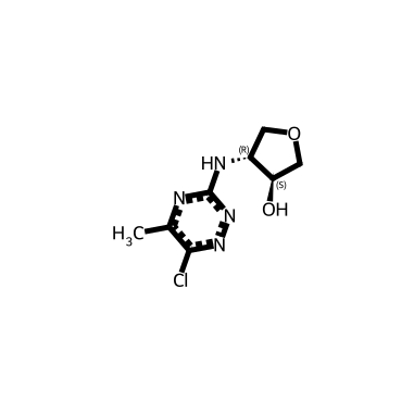 Cc1nc(N[C@@H]2COC[C@H]2O)nnc1Cl